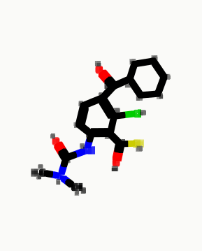 CN(C)C(=O)Nc1ccc(C(=O)C2CCCCC2)c(Cl)c1C(=O)S